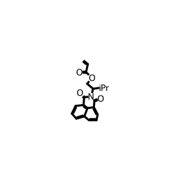 C=CC(=O)OCC(C(C)C)N1C(=O)c2cccc3cccc(c23)C1=O